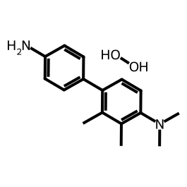 Cc1c(-c2ccc(N)cc2)ccc(N(C)C)c1C.OO